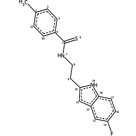 Cc1ccc(C(=S)NCCc2cc3cc(F)ccc3[nH]2)cc1